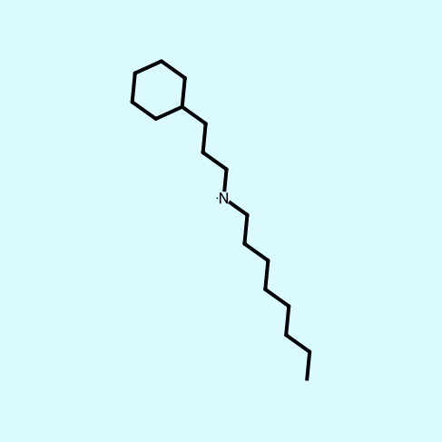 CCCCCCCC[N]CCCC1CCCCC1